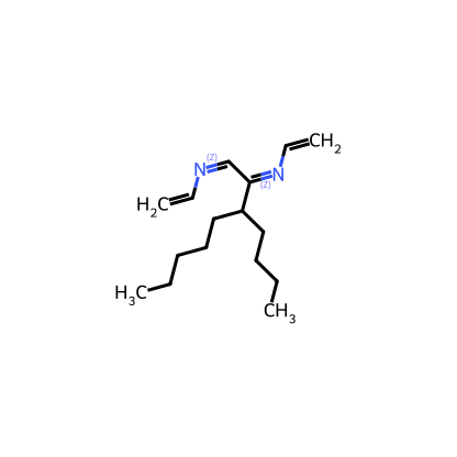 C=C/N=C\C(=N/C=C)C(CCCC)CCCCC